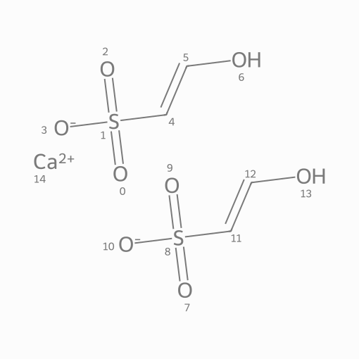 O=S(=O)([O-])C=CO.O=S(=O)([O-])C=CO.[Ca+2]